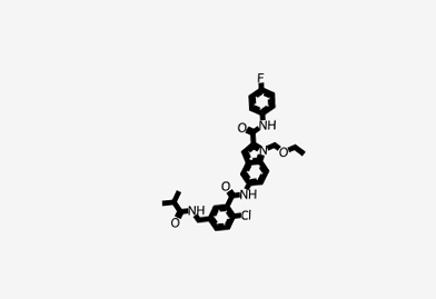 CCOCn1c(C(=O)Nc2ccc(F)cc2)cc2cc(NC(=O)c3cc(CNC(=O)C(C)C)ccc3Cl)ccc21